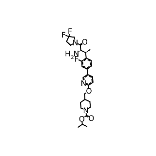 CC(C)OC(=O)N1CCC(COc2ccc(-c3ccc([C@H](C)[C@H](N)C(=O)N4CCC(F)(F)C4)c(F)c3)cn2)CC1